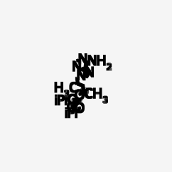 CC(C[C@H](C)OCP(=O)(OC(C)C)OC(C)C)Cn1cnc2c(N)ncnc21